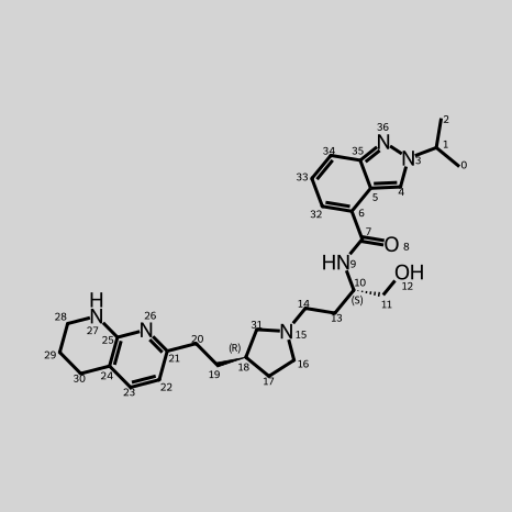 CC(C)n1cc2c(C(=O)N[C@H](CO)CCN3CC[C@@H](CCc4ccc5c(n4)NCCC5)C3)cccc2n1